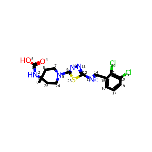 CC1(NC(=O)O)CCN(c2nnc(/N=C/c3cccc(Cl)c3Cl)s2)CC1